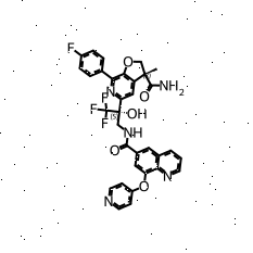 C[C@]1(C(N)=O)COc2c1cc([C@@](O)(CNC(=O)c1cc(Oc3ccncc3)c3ncccc3c1)C(F)(F)F)nc2-c1ccc(F)cc1